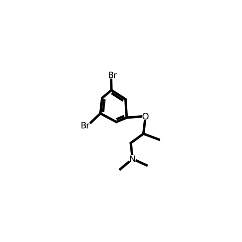 CC(CN(C)C)Oc1cc(Br)cc(Br)c1